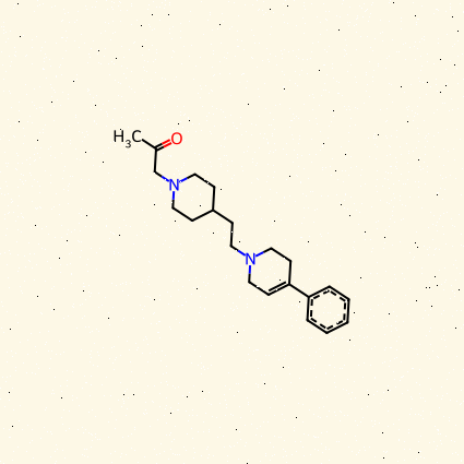 CC(=O)CN1CCC(CCN2CC=C(c3ccccc3)CC2)CC1